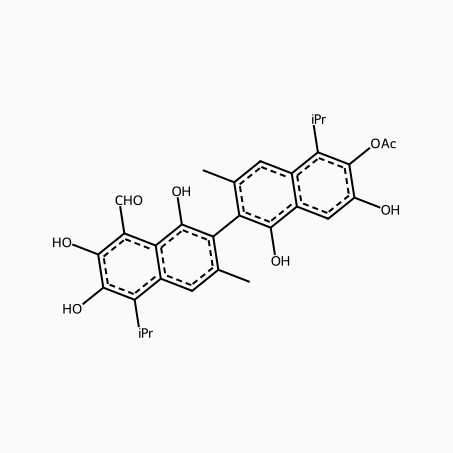 CC(=O)Oc1c(O)cc2c(O)c(-c3c(C)cc4c(C(C)C)c(O)c(O)c(C=O)c4c3O)c(C)cc2c1C(C)C